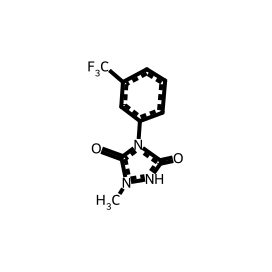 Cn1[nH]c(=O)n(-c2cccc(C(F)(F)F)c2)c1=O